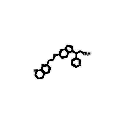 O=C(O)CC(c1cccnc1)n1ccc2cc(OCCc3ccc4c(n3)NCCC4)ccc21